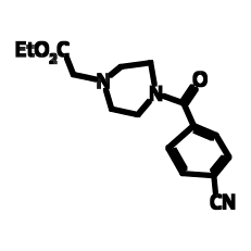 CCOC(=O)CN1CCN(C(=O)c2ccc(C#N)cc2)CC1